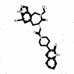 O=C(C[C@@H]1Cc2cc(Br)c3[nH]ncc3c2CN(CC(F)(F)F)C1=O)N1CCC(c2cc3ccccc3[nH]c2=O)CC1